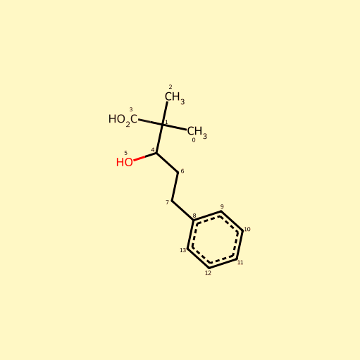 CC(C)(C(=O)O)C(O)CCc1ccccc1